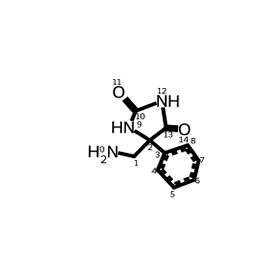 NCC1(c2ccccc2)NC(=O)NC1=O